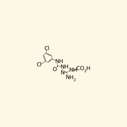 NC(=NNC(=O)Nc1cc(Cl)cc(Cl)c1)NCC(=O)O